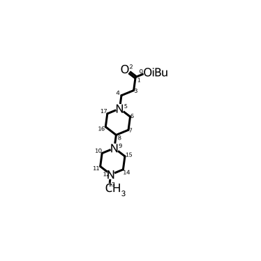 CC(C)COC(=O)CCN1CCC(N2CCN(C)CC2)CC1